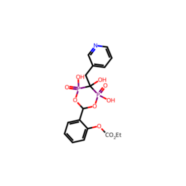 CCOC(=O)Oc1ccccc1C1OP(=O)(O)C(O)(Cc2cccnc2)P(=O)(O)O1